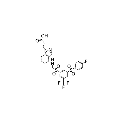 O=C(O)CCn1ncc2c1CCC[C@H]2NCS(=O)(=O)c1cc(C(F)(F)F)cc(S(=O)(=O)c2ccc(F)cc2)c1